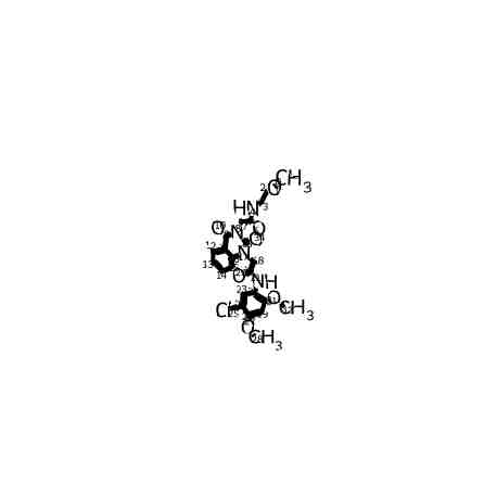 COCCNC(=O)Cn1c(=O)c2ccccc2n(CC(=O)Nc2cc(Cl)c(OC)cc2OC)c1=O